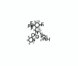 O=C(Oc1ccccn1)N(Cc1cc(F)ccc1C(F)(F)F)CC1C2CNCC21